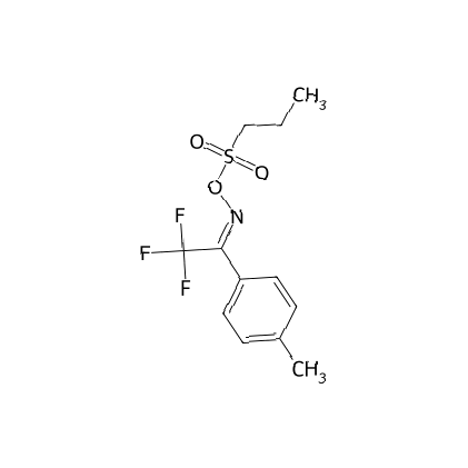 CCCS(=O)(=O)O/N=C(/c1ccc(C)cc1)C(F)(F)F